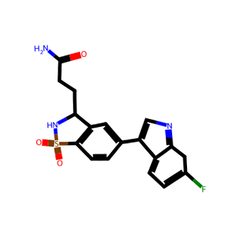 NC(=O)CCC1NS(=O)(=O)c2ccc(C3=CN=C4CC(F)=CC=C34)cc21